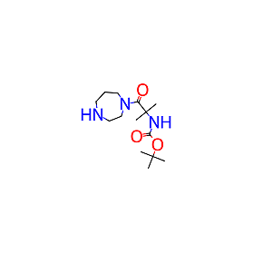 CC(C)(C)OC(=O)NC(C)(C)C(=O)N1CCCNCC1